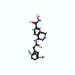 O=C(CC1C[C@@H]2CC[C@H]1C2)NC1CCCc2cc(C(=O)NO)ccc21